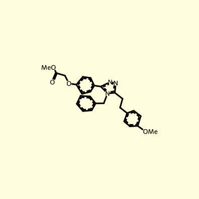 COC(=O)COc1ccc(-c2nnc(CCc3ccc(OC)cc3)n2Cc2ccccc2)cc1